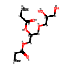 CCCCCCCCCCCC(=O)OC[C@H](COCC(O)CO)OC(=O)CCCCCCCCCCC